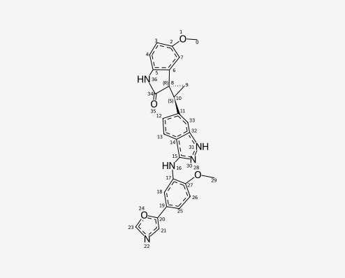 COc1ccc2c(c1)[C@]1(C[C@H]1c1ccc3c(Nc4cc(-c5cnco5)ccc4OC)n[nH]c3c1)C(=O)N2